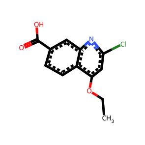 CCOc1cc(Cl)nc2cc(C(=O)O)ccc12